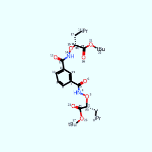 CC(C)C[C@@H](ONC(=O)c1cccc(C(=O)NO[C@H](CC(C)C)C(=O)OC(C)(C)C)c1)C(=O)OC(C)(C)C